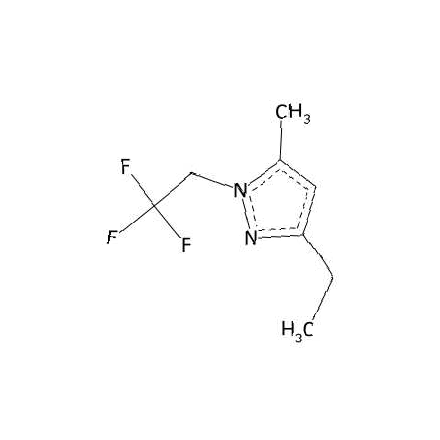 CCc1cc(C)n(CC(F)(F)F)n1